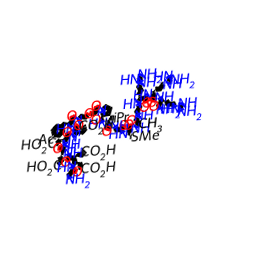 CSC[C@H](NC(=O)CNC(=O)[C@H](CC(C)C)NC(=O)[C@@H]1CCCN1C(=O)COCCNC(=O)[C@H](Cc1ccc(C(C)=O)cc1)NC(=O)[C@@H](CCC(=O)O)NC(=O)[C@@H](CCC(=O)O)NC(=O)[C@@H](CCC(=O)O)NC(=O)[C@@H](CCC(=O)O)[C@@H](CCC(=O)O)NC(=O)CN)C(=O)N[C@@H](C)C(=O)NCC(=O)N[C@H](CCCNC(=N)N)C(=O)N[C@H](CCCNC(=N)N)C(=O)N[C@H](CCCNC(=N)N)C(N)=O